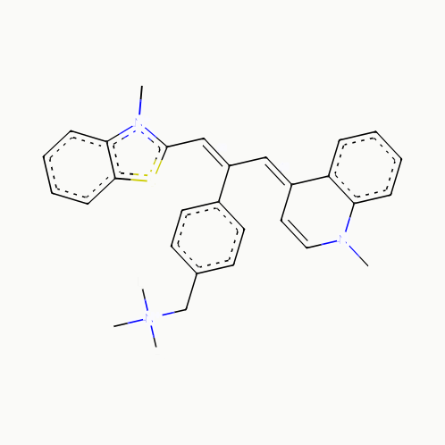 CC[N+](C)(CC)Cc1ccc(C(=C\c2sc3ccccc3[n+]2C)/C=C2\C=CN(C)c3ccccc32)cc1